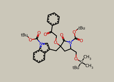 CC(C)(C)OC(=O)N1C(=O)C(Cc2cn(C(=O)OC(C)(C)C)c3ccccc23)(OCC(=O)c2ccccc2)CC1CO[Si](C)(C)C(C)(C)C